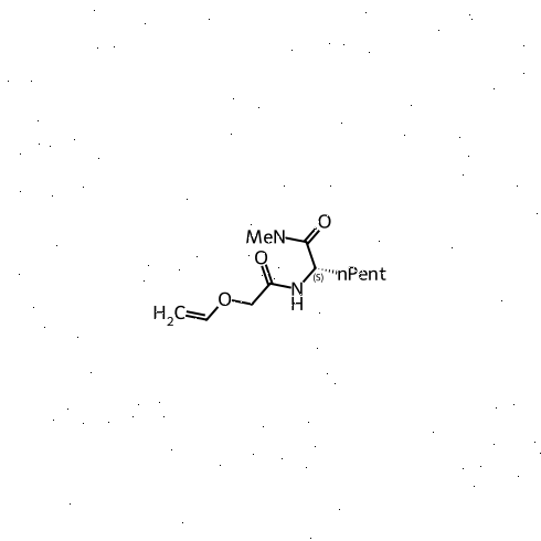 C=COCC(=O)N[C@@H](CCCCC)C(=O)NC